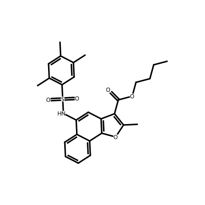 CCCCOC(=O)c1c(C)oc2c1cc(NS(=O)(=O)c1cc(C)c(C)cc1C)c1ccccc12